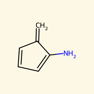 C=C1C=CC=C1N